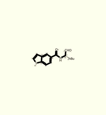 CCCC[C@@H]([C]=O)NC(=O)c1ccc2sccc2c1